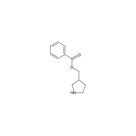 O=C(OCC1CCNC1)c1ccccc1